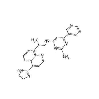 Cc1nc(NCC(C)c2cccc3c(C4=NCCN4)ccnc23)cc(-c2cncnc2)n1